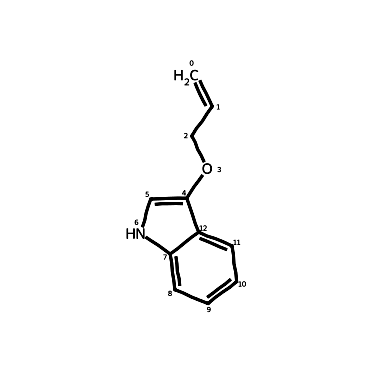 C=CCOc1c[nH]c2ccccc12